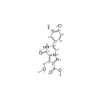 COCc1c(C(=O)OC)nn2cc(-c3ccc(Cl)c(F)c3)[nH]c(=O)c12